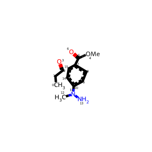 CCC=O.COC(=O)c1ccc(N(C)N)cc1